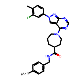 CSc1ccc(CNC(=O)C2CCCN(c3ncnc4nn(-c5ccc(C)c(F)c5)cc34)CC2)cc1